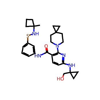 CC1(NSc2cccc(NC(=O)c3ccc(NC4(CO)CC4)nc3N3CCC4(CC3)CC4)c2)CCC1